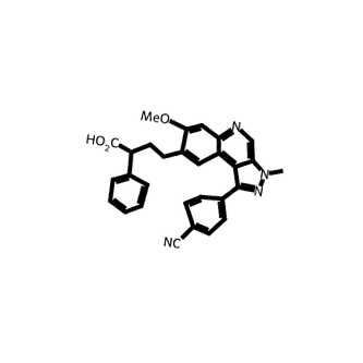 COc1cc2ncc3c(c(-c4ccc(C#N)cc4)nn3C)c2cc1CCC(C(=O)O)c1ccccc1